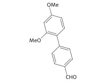 COc1ccc(-c2ccc(C=O)cc2)c(OC)c1